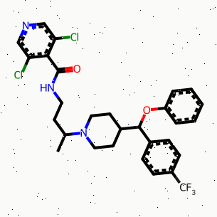 CC(CCNC(=O)c1c(Cl)cncc1Cl)N1CCC(C(Oc2ccccc2)c2ccc(C(F)(F)F)cc2)CC1